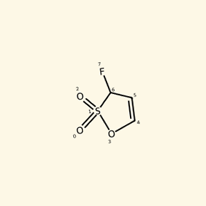 O=S1(=O)OC=CC1F